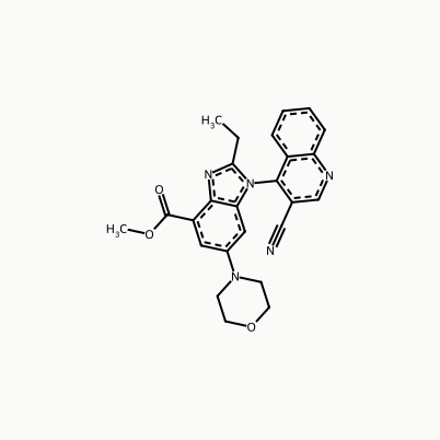 CCc1nc2c(C(=O)OC)cc(N3CCOCC3)cc2n1-c1c(C#N)cnc2ccccc12